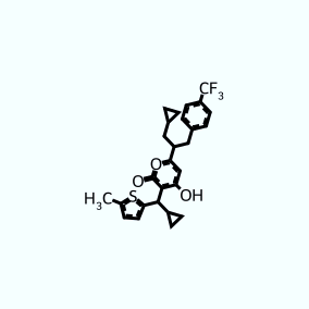 Cc1ccc(C(c2c(O)cc(C(Cc3ccc(C(F)(F)F)cc3)CC3CC3)oc2=O)C2CC2)s1